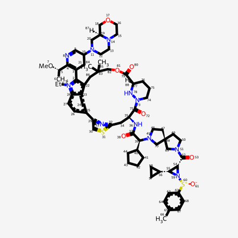 CCn1c(C2=C([C@H](C)OC)N=CC(N3CCN4CCOC[C@@H]4C3)C2)c2c3cc(ccc31)-c1csc(n1)C[C@H](NC(=O)[C@H](C1CCCC1)N1CC[C@]3(CCN(C(=O)[C@H]4[C@@H](C5CC5)N4[S@+]([O-])c4ccc(C)cc4)C3)C1)C(=O)N1CCC[C@H](N1)C(=O)OCC(C)(C)C2